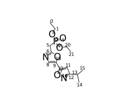 CCOP(=O)(Cc1ncc(-c2cc(C(C)C)no2)o1)OCC